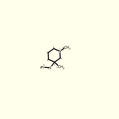 CC(C)SC1(C)CCCN(C)C1